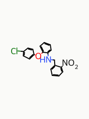 O=[N+]([O-])c1ccccc1CNc1ccccc1Oc1ccc(Cl)cc1